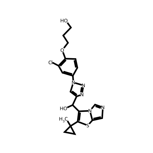 CC1(c2sc3cncn3c2C(O)c2cn(-c3ccc(OCCCO)c(Cl)c3)nn2)CC1